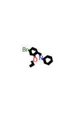 C=CCOc1cc(Br)ccc1C=Nc1ccccc1